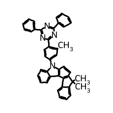 Cc1cc(-n2c3ccccc3c3c4c(ccc32)C(C)(C)c2ccccc2-4)ccc1-c1nc(-c2ccccc2)nc(-c2ccccc2)n1